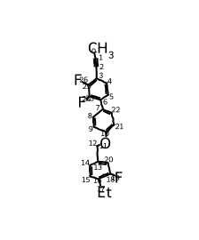 CC#Cc1ccc(-c2ccc(OCc3ccc(CC)c(F)c3)cc2)c(F)c1F